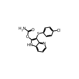 NC(=O)Oc1[nH]c2cccnc2c1Sc1ccc(Cl)cc1